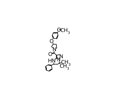 COc1ccc(OC2CCN(C(=O)c3cnn4c3NC(c3ccccc3)CC4(C)C)C2)cc1